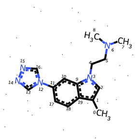 Cc1cn(CCN(C)C)c2cc(-n3cnnc3)ccc12